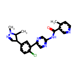 Cc1ccncc1C(=O)Nc1cnc(-c2cc(C3C=NN(C)C3C)ccc2Cl)cn1